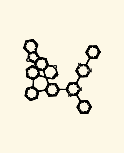 c1ccc(-c2ncc(-c3cc(-c4ccc5c(c4)C4(c6ccccc6Oc6cc7c(cc64)oc4ccccc47)c4ccccc4-c4ccccc4-5)nc(-c4ccccc4)n3)cn2)cc1